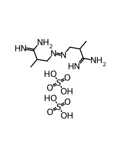 CC(CN=NCC(C)C(=N)N)C(=N)N.O=S(=O)(O)O.O=S(=O)(O)O